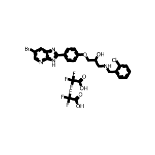 O=C(O)C(F)(F)F.O=C(O)C(F)(F)F.OC(CNCc1ccccc1Cl)COc1ccc(-c2nc3cc(Br)cnc3[nH]2)cc1